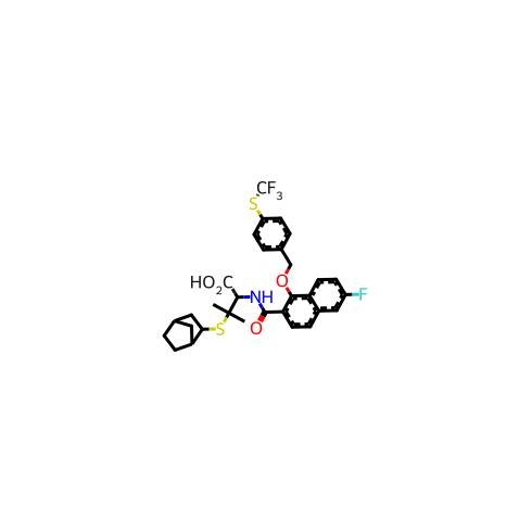 CC(C)(SC1CC2CCC1C2)C(NC(=O)c1ccc2cc(F)ccc2c1OCc1ccc(SC(F)(F)F)cc1)C(=O)O